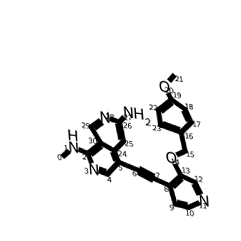 CNc1ncc(C#Cc2ccncc2OCc2ccc(OC)cc2)c2cc(N)ncc12